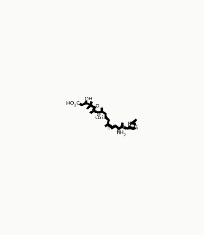 C/C(=C/C[C@H](N)/C(C)=C/c1csc(C)n1)CCCC(C)[C@H](O)C(C)C(=O)C(C)(C)C(O)CC(=O)O